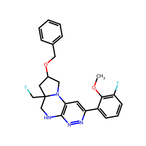 COc1c(F)cccc1-c1cc2c(nn1)NCC1(CF)CC(OCc3ccccc3)CN21